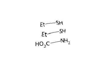 CCS.CCS.NC(=O)O